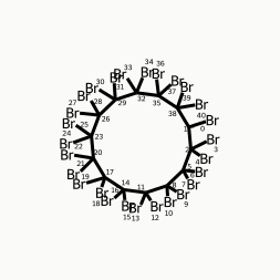 Br[C]1C(Br)(Br)C(Br)(Br)C(Br)(Br)C(Br)(Br)C(Br)(Br)C(Br)(Br)C(Br)(Br)C(Br)(Br)C(Br)(Br)C(Br)(Br)C(Br)(Br)C(Br)(Br)C1(Br)Br